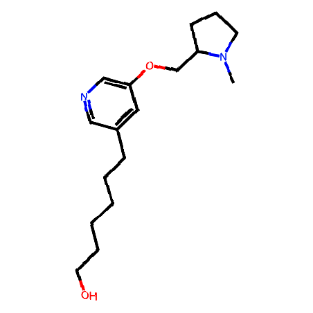 CN1CCCC1COc1cncc(CCCCCCO)c1